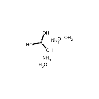 N.N.O.O.O.OB(O)O